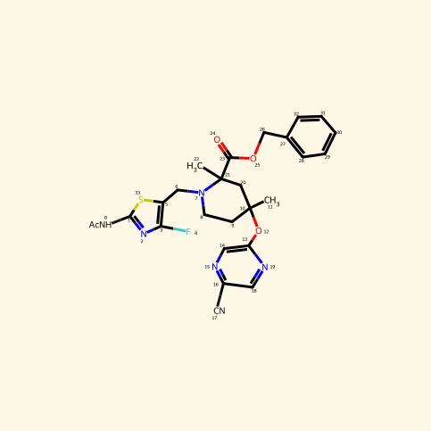 CC(=O)Nc1nc(F)c(CN2CCC(C)(Oc3cnc(C#N)cn3)CC2(C)C(=O)OCc2ccccc2)s1